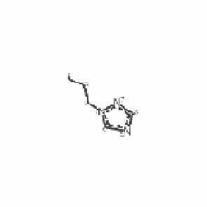 CCCn1[c]ncn1